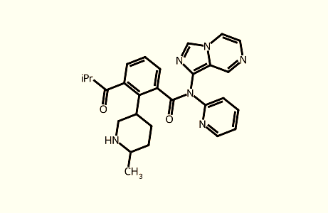 CC1CCC(c2c(C(=O)C(C)C)cccc2C(=O)N(c2ccccn2)c2ncn3ccncc23)CN1